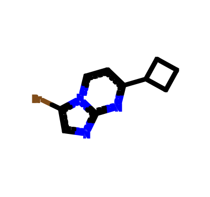 Brc1cnc2nc(C3CCC3)ccn12